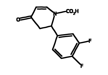 O=C1C=CN(C(=O)O)C(c2ccc(F)c(F)c2)C1